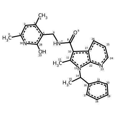 Cc1cc(C)c(CNC(=O)c2c(C)n(C(C)c3ccccc3)c3ncccc23)c(O)n1